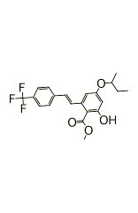 CCC(C)Oc1cc(O)c(C(=O)OC)c(C=Cc2ccc(C(F)(F)F)cc2)c1